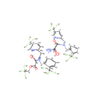 NC(=O)C(=O)N(Cc1ccc(C(F)(F)F)cn1)Cc1ccccc1C(F)(F)F.O=C(OCC(F)(F)F)C(=O)N(Cc1ccc(C(F)(F)F)cn1)Cc1ccccc1C(F)(F)F